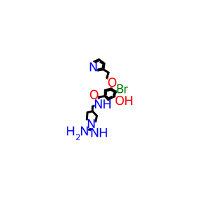 N=C(N)N1CCC(CNC(=O)c2cc(O)c(Br)c(OCCc3cccnc3)c2)CC1